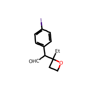 CCC1(C(C=O)c2ccc(I)cc2)CCO1